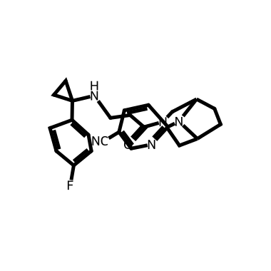 N#Cc1ccc(N2C3CCC2CN(C(=O)CCNC2(c4ccc(F)cc4)CC2)C3)nc1